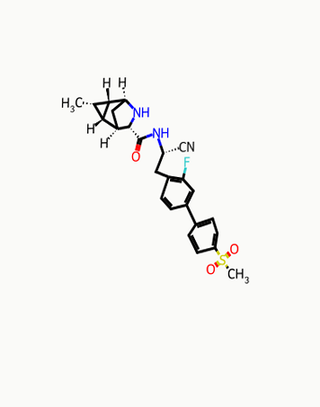 C[C@H]1[C@H]2[C@H]3C[C@H](N[C@@H]3C(=O)N[C@H](C#N)Cc3ccc(-c4ccc(S(C)(=O)=O)cc4)cc3F)[C@@H]12